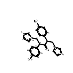 O=C(C(Cn1ccnc1)c1ccc(Br)cc1)C(Cn1ccnc1)c1ccc(Br)cc1